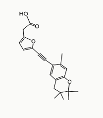 Cc1cc2c(cc1C#Cc1ccc(CC(=O)O)o1)CC(C)(C)C(C)(C)O2